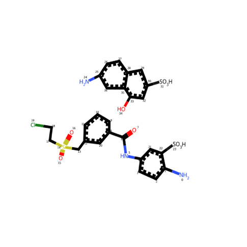 Nc1ccc(NC(=O)c2cccc(CS(=O)(=O)CCCl)c2)cc1S(=O)(=O)O.Nc1ccc2cc(S(=O)(=O)O)cc(O)c2c1